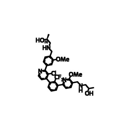 COc1cc(-c2nccc(-c3cccc(-c4ccc(CNCC(C)O)c(OC)n4)c3C(F)(F)F)c2Cl)ccc1CNC[C@H](C)O